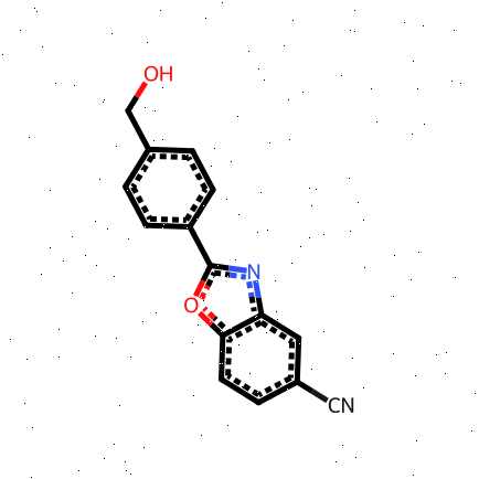 N#Cc1ccc2oc(-c3ccc(CO)cc3)nc2c1